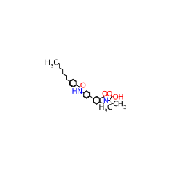 CCCCCCCc1ccc(C(=O)Nc2ccc(-c3ccc4c(c3)C(=O)N([C@H](C(=O)O)C(C)C)C4)cc2)cc1